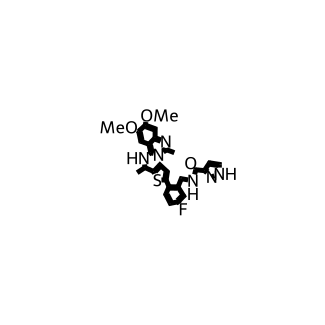 COc1cc2nc(C)nc(NC(C)c3ccc(-c4ccc(F)cc4CNC(=O)c4cc[nH]n4)s3)c2cc1OC